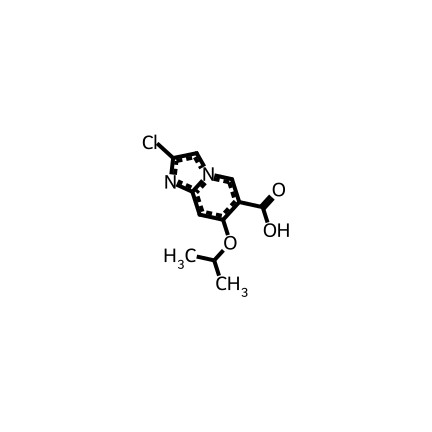 CC(C)Oc1cc2nc(Cl)cn2cc1C(=O)O